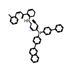 C#C/C=C(\C=C/CNC1=C(C(=C)/C=C\c2ccccc2C)C=CCC1)N(c1ccc(-c2ccccc2)cc1)c1ccc(-c2ccc3ccccc3c2)cc1